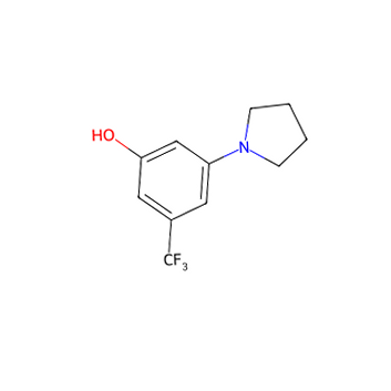 Oc1cc(N2CCCC2)cc(C(F)(F)F)c1